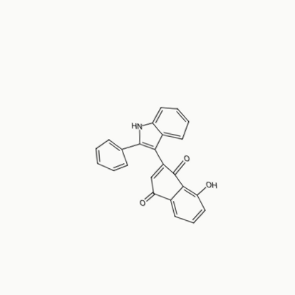 O=C1C=C(c2c(-c3ccccc3)[nH]c3ccccc23)C(=O)c2c(O)cccc21